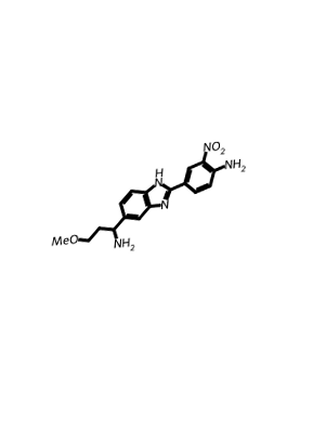 COCCC(N)c1ccc2[nH]c(-c3ccc(N)c([N+](=O)[O-])c3)nc2c1